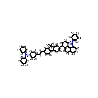 CC1(C)c2cc(/C=C/c3ccc(N(c4ccccc4)c4ccccc4)cc3)ccc2-c2ccc(-c3ccc4c5c3ccc3cccc(c35)n4-c3ccccc3)cc21